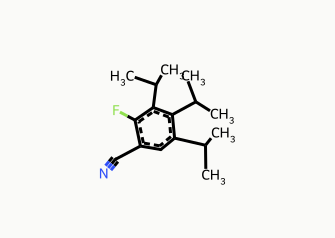 CC(C)c1cc(C#N)c(F)c(C(C)C)c1C(C)C